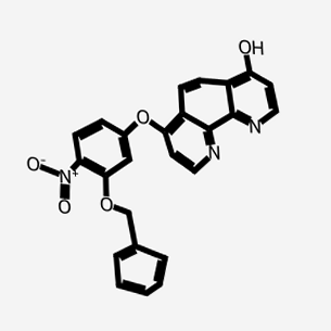 O=[N+]([O-])c1ccc(Oc2ccnc3c2ccc2c(O)ccnc23)cc1OCc1ccccc1